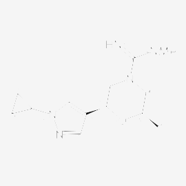 CNC(=N)N1C[C@@H](C)O[C@@H](c2cnn(C3CC3)c2)C1